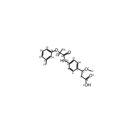 COC(CC(=O)O)c1ccc(NC(=O)C(C)(C)Oc2cccc(C)c2)cc1